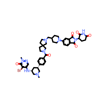 CN1C[C@H](Nc2cnn(C)c(=O)c2Br)C[C@H](c2ccc(C(=O)N3CCC4(CCN(CC5CCN(c6ccc7c(c6)C(=O)N(C6CCC(=O)NC6=O)C7=O)CC5)C4)C3)cc2)C1